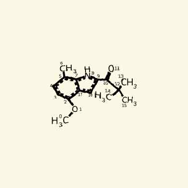 COc1ccc(C)c2[nH]c(C(=O)C(C)(C)C)cc12